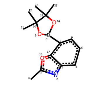 Cc1nc2cccc(B3OC(C)(C)C(C)(C)O3)c2o1